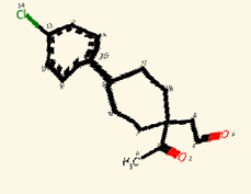 CC(=O)C1(CC=O)CCC(c2ccc(Cl)cc2)CC1